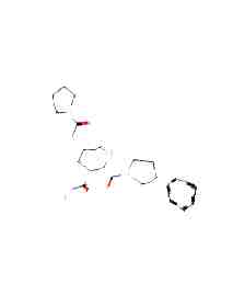 O=C(NO)[C@H]1C[C@H](CC(=O)N2CCCC2)CN[C@@H]1C(=O)N1CC[C@H](c2ccccc2)C1